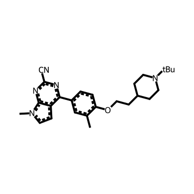 Cc1cc(-c2nc(C#N)nc3c2ccn3C)ccc1OCCC1CCN(C(C)(C)C)CC1